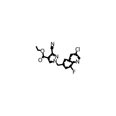 CCOC(=O)c1cn(Cc2cc(F)c3ncc(Cl)cc3c2)nc1C#N